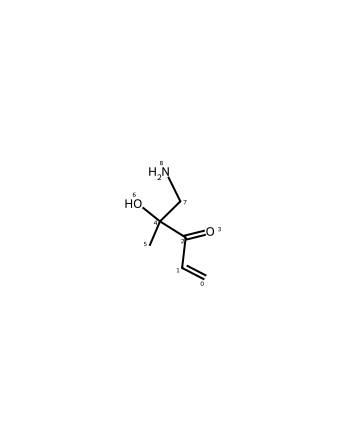 C=CC(=O)C(C)(O)CN